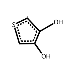 Oc1[c]scc1O